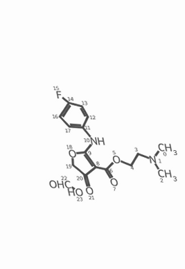 CN(C)CCOC(=O)C1=C(Nc2ccc(F)cc2)OCC1=O.O=CO